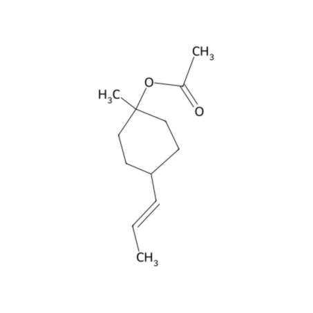 CC=CC1CCC(C)(OC(C)=O)CC1